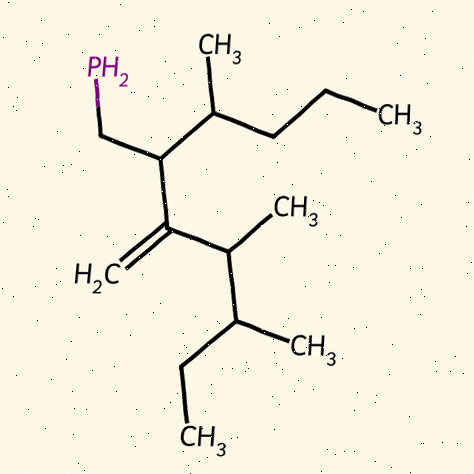 C=C(C(C)C(C)CC)C(CP)C(C)CCC